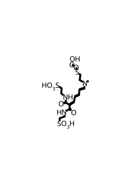 CN(C=CC=CC=C(C(=O)NCCS(=O)(=O)O)C(=O)NCCS(=O)(=O)O)CCSOOO